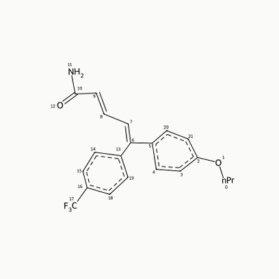 CCCOc1ccc(/C(=C/C=C/C(N)=O)c2ccc(C(F)(F)F)cc2)cc1